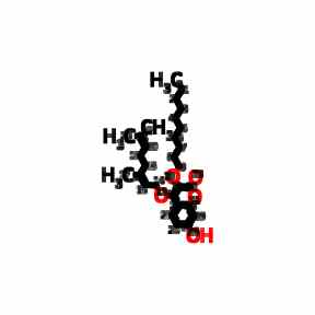 CCCCCCCCCCOc1c(OCC=C(C)CCC=C(C)C)c2ccc(O)cc2oc1=O